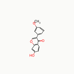 COc1cccc(-c2coc3cc(O)ccc3c2=O)c1